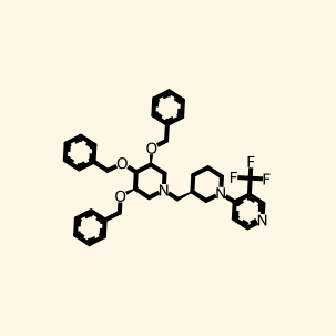 FC(F)(F)c1cnccc1N1CCC[C@H](CN2C[C@H](OCc3ccccc3)C(OCc3ccccc3)[C@H](OCc3ccccc3)C2)C1